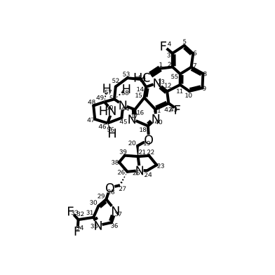 C#Cc1c(F)ccc2cccc(-c3nc4c5c(nc(OC[C@@]67CCCN6[C@H](COc6cc(C(F)F)ncn6)CC7)nc5c3F)N3C[C@H]5CC[C@H](N5)[C@H]3CCC4)c12